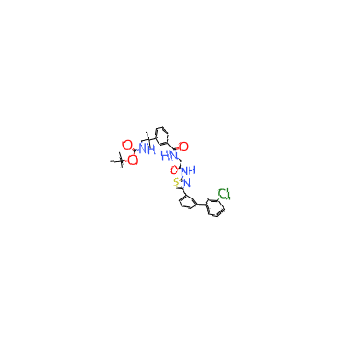 CC(C)(C)OC(=O)NCC(C)(C)c1cccc(C(=O)NCC(=O)Nc2nc(-c3cccc(-c4cccc(Cl)c4)c3)cs2)c1